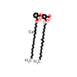 CCCCCCCCCCCCCCCCCCCCCCOC(=O)c1ccccc1C(=O)[O-].CCCCCCCCCCCCCCCCCCCCCCOC(=O)c1ccccc1C(=O)[O-].[Ca+2]